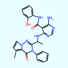 Cc1ccn2nc(C(C)Nc3ncnc(N)c3C(=O)Nc3ccccc3O)n(-c3ccccc3)c(=O)c12